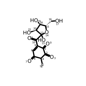 O=C1C(=O)C(F)C(=O)C=C1C(=O)C1(O)O[C@@H](CO)[C@H](O)[C@@H]1O